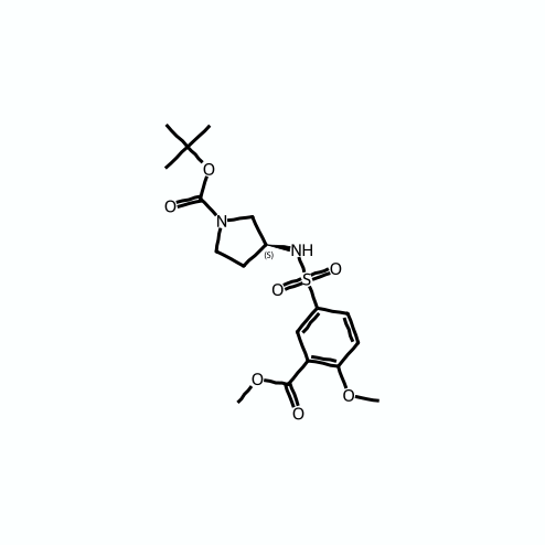 COC(=O)c1cc(S(=O)(=O)N[C@H]2CCN(C(=O)OC(C)(C)C)C2)ccc1OC